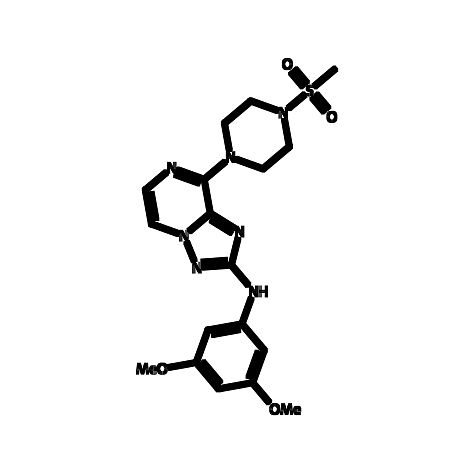 COc1cc(Nc2nc3c(N4CCN(S(C)(=O)=O)CC4)nccn3n2)cc(OC)c1